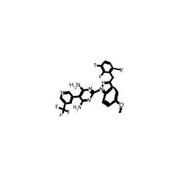 COc1ccc2c(c1)c(Cc1c(F)ccc(F)c1F)nn2-c1nc(N)c(-c2cncc(C(F)(F)F)c2)c(N)n1